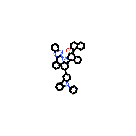 c1ccc(-c2nc3ccccc3nc2-n2c3ccc(-c4ccc5c(c4)c4ccccc4n5-c4ccccc4)cc3c3c4ccccc4c4c(oc5ccc6ccccc6c54)c32)cc1